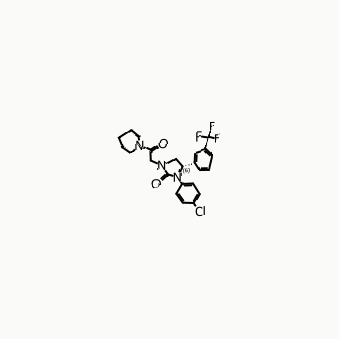 O=C(CN1C[C@H](c2cccc(C(F)(F)F)c2)N(c2ccc(Cl)cc2)C1=O)N1CCCCC1